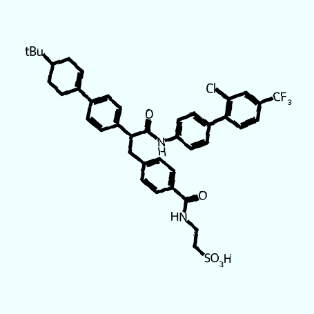 CC(C)(C)C1CC=C(c2ccc(C(Cc3ccc(C(=O)NCCS(=O)(=O)O)cc3)C(=O)Nc3ccc(-c4ccc(C(F)(F)F)cc4Cl)cc3)cc2)CC1